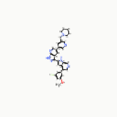 COc1cc(F)cc(-c2cncc3[nH]c(-c4n[nH]c5ncc(-c6cncc(CN7CCCCC7)c6)cc45)cc23)c1